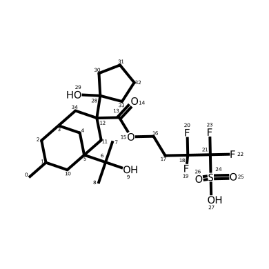 CC1CC2CC(C(C)(C)O)(C1)CC(C(=O)OCCC(F)(F)C(F)(F)S(=O)(=O)O)(C1(O)CCCC1)C2